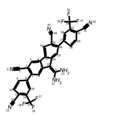 N#Cc1cc2c(cc1-c1ccc(C#N)c(C(F)(F)F)c1)C(=C(N)N)c1cc(-c3ccc(C#N)c(C(F)(F)F)c3)c(C#N)cc1-2